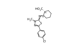 Cn1nc(-c2ccc(Cl)cc2)sc1=N[C@@H]1CCCC[C@H]1C(=O)O